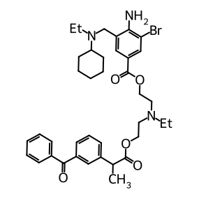 CCN(CCOC(=O)c1cc(Br)c(N)c(CN(CC)C2CCCCC2)c1)CCOC(=O)C(C)c1cccc(C(=O)c2ccccc2)c1